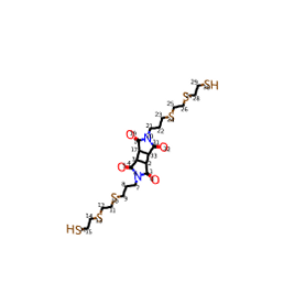 O=C1C2C(C(=O)N1CCCSCCSCCS)C1C(=O)N(CCCSCCSCCS)C(=O)C21